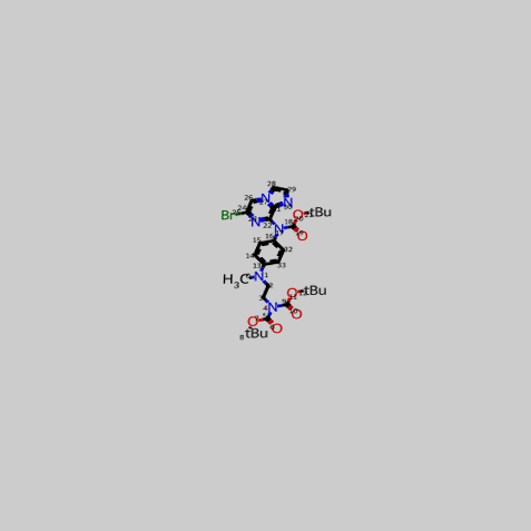 CN(CCN(C(=O)OC(C)(C)C)C(=O)OC(C)(C)C)c1ccc(N(C(=O)OC(C)(C)C)c2nc(Br)cn3ccnc23)cc1